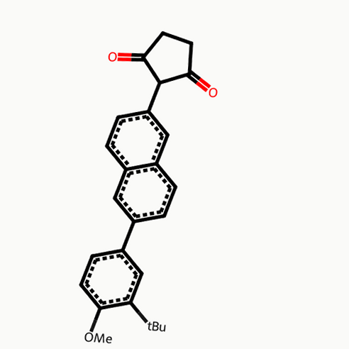 COc1ccc(-c2ccc3cc(C4C(=O)CCC4=O)ccc3c2)cc1C(C)(C)C